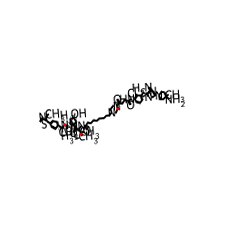 Cc1ncsc1-c1ccc([C@H](C)NC(=O)[C@@H]2C[C@@H](O)CN2C(=O)C(NC(=O)CCCCCCCCN2CCN(C(=O)CCC(=O)Nc3cccc(Sc4ncc(N5CCC(C)(N)CC5)nc4N)c3Cl)CC2)C(C)(C)C)cc1